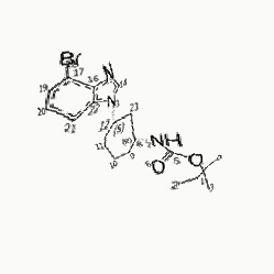 CC(C)(C)OC(=O)N[C@@H]1CCC[C@H](n2cnc3c(Br)cccc32)C1